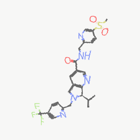 CC(C)[C@@H]1c2ncc(C(=O)NCc3ccc(S(C)(=O)=O)cn3)cc2CN1Cc1ccc(C(F)(F)F)cn1